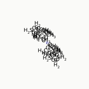 CC(C)C(OC(=O)/C=C/C(=O)OC(C(C)C)(C(C)C)C(C)(C(C)C)C(C)(C)[Si]1(C)O[SiH2]O[SiH2]O[SiH2]O1)(C(C)C)C(C)(C(C)C)C(C)(C)[Si]1(C)O[SiH2]O[SiH2]O[SiH2]O1